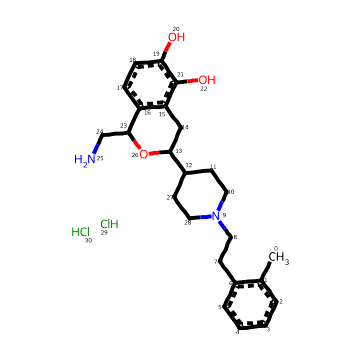 Cc1ccccc1CCN1CCC(C2Cc3c(ccc(O)c3O)C(CN)O2)CC1.Cl.Cl